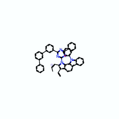 C=Cc1c(/C=C\C)n(-c2nc(-c3ccccc3)nc(-c3cccc(-c4cccc(-c5ccccc5)c4)c3)n2)c2c1ccc1c3ccccc3n(-c3ccccc3)c12